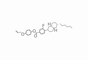 C=CCOc1ccc(OC(=O)c2ccc(C3CC[C@H]4C[C@@H](CCCCCC)CC[C@@H]4C3)c(F)c2)cc1